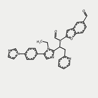 CCn1c(-c2ccc(-n3ccnc3)cc2)cnc1C(Cc1ccccn1)N(C=O)c1cc2cc(C=O)ccc2o1